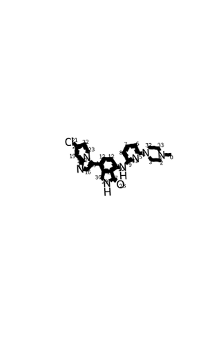 CN1CCN(c2cccc(Nc3ccc(-c4cnc5cc(Cl)ccn45)c4c3C(=O)NC4)n2)CC1